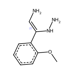 COc1ccccc1/C(=C/N)NN